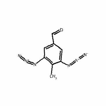 Cc1c(N=[N+]=[N-])cc(C=O)cc1N=[N+]=[N-]